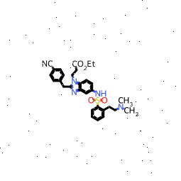 CCOC(=O)CCn1c(Cc2ccc(C#N)cc2)nc2cc(NS(=O)(=O)c3ccccc3CCN(C)C)ccc21